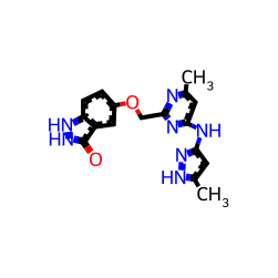 Cc1cc(Nc2cc(C)[nH]n2)nc(COc2ccc3[nH][nH]c(=O)c3c2)n1